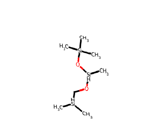 C[SiH](C)CO[SiH](C)O[Si](C)(C)C